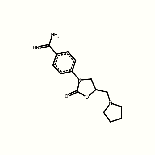 N=C(N)c1ccc(N2CC(CN3CCCC3)OC2=O)cc1